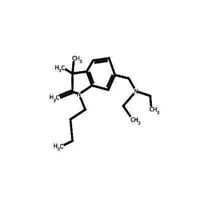 C=C1N(CCCC)c2cc(CN(CC)CC)ccc2C1(C)C